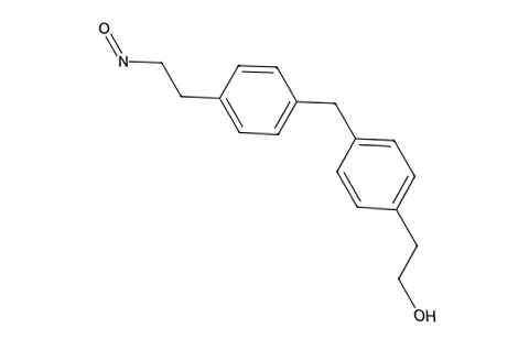 O=NCCc1ccc(Cc2ccc(CCO)cc2)cc1